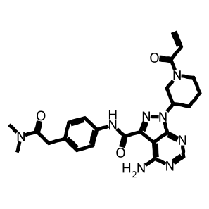 C=CC(=O)N1CCCC(n2nc(C(=O)Nc3ccc(CC(=O)N(C)C)cc3)c3c(N)ncnc32)C1